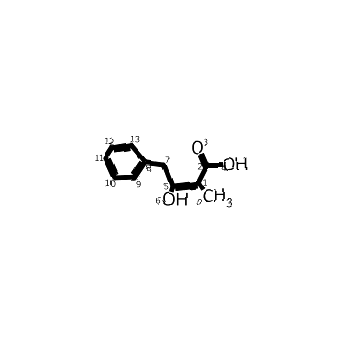 CC(C(=O)O)=C(O)Cc1ccccc1